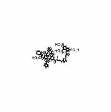 CC1CC(C(=O)NCCCc2cn(CCC(=O)Nc3cc(S(=O)(=O)O)cc4cc(S(=O)(=O)O)cc(S(=O)(=O)O)c34)nn2)CC(OC2OC(CO)C(O)C(O[C@@H](CC3CCCCC3)C(=O)O)C2OC(=O)c2ccccc2)C1OC1OC(C)C(O)C(O)C1O